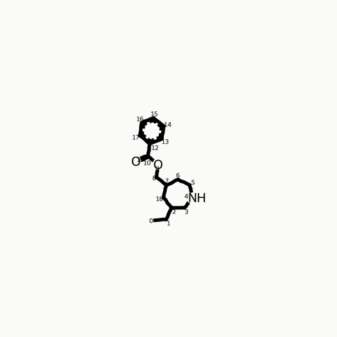 CCC1CNCCC(COC(=O)c2ccccc2)C1